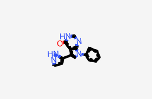 O=c1[nH]cnc2c1c(-c1ccn[nH]1)cn2-c1ccccc1